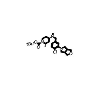 C[C@@H]1C[C@H](N(C)Cc2ccc(Cl)c(N3CC4COCC4C3)c2)CCN1C(=O)OC(C)(C)C